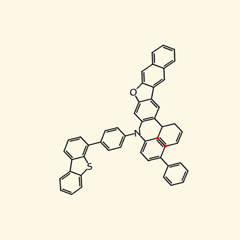 C1=CCC(c2cc3c(cc2N(c2ccc(-c4ccccc4)cc2)c2ccc(-c4cccc5c4sc4ccccc45)cc2)oc2cc4ccccc4cc23)C=C1